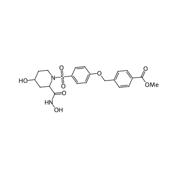 COC(=O)c1ccc(COc2ccc(S(=O)(=O)N3CCC(O)CC3C(=O)NO)cc2)cc1